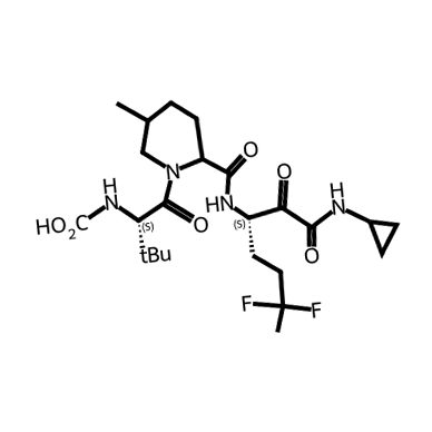 CC1CCC(C(=O)N[C@@H](CCC(C)(F)F)C(=O)C(=O)NC2CC2)N(C(=O)[C@@H](NC(=O)O)C(C)(C)C)C1